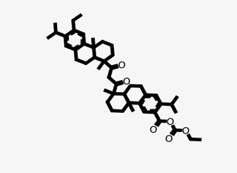 CCOC(=O)OC(=O)c1cc2c(cc1C(C)C)CCC1C(C)(C(=O)CC(=O)C3(C)CCCC4(C)c5cc(CC)c(C(C)C)cc5CCC34)CCCC21C